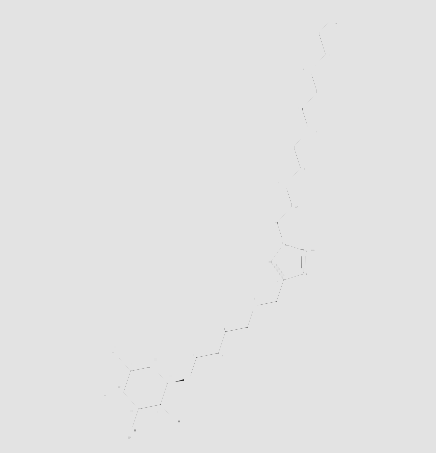 OCCOCCOCCOCCn1cc(COCCCCO[C@@H]2OC(S)[C@@H](O)C(O)C2O)nn1